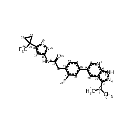 CN(C)c1n[nH]c2ncc(-c3ccc(CC(=O)Nc4cc(C5(C(F)(F)F)CC5)on4)c(F)c3)cc12